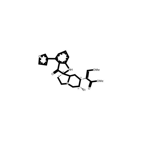 CC[C@@H]1CN2CC[C@]3(Nc4cccc(-c5ccoc5)c4C3=O)C2C[C@@H]1C(=COC)C(=O)OC